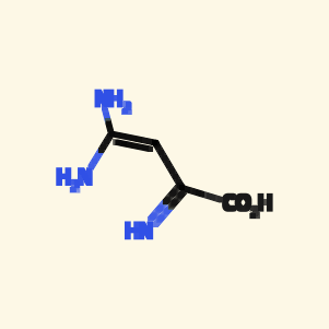 N=C(C=C(N)N)C(=O)O